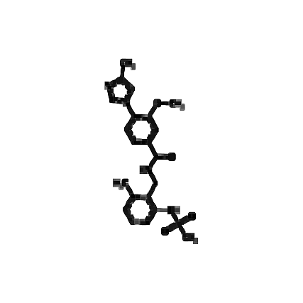 COc1cc(C(=O)NCc2c(C)cccc2NS(C)(=O)=O)ccc1-n1cnc(C)c1